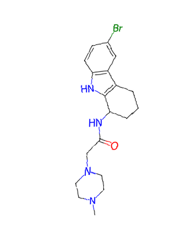 CN1CCN(CC(=O)NC2CCCc3c2[nH]c2ccc(Br)cc32)CC1